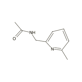 CC(=O)NCc1cccc(C)n1